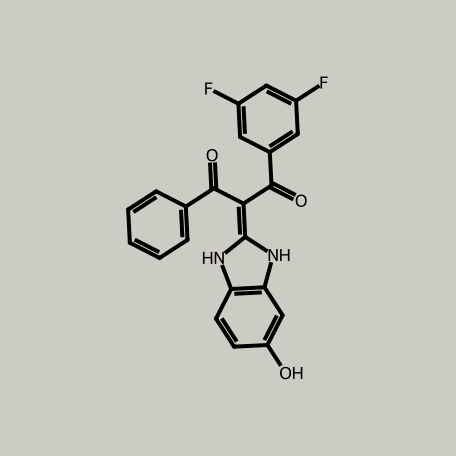 O=C(/C(C(=O)c1cc(F)cc(F)c1)=C1\Nc2ccc(O)cc2N1)c1ccccc1